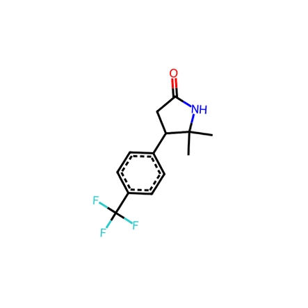 CC1(C)NC(=O)CC1c1ccc(C(F)(F)F)cc1